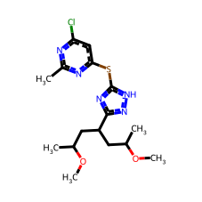 COC(C)CC(CC(C)OC)c1n[nH]c(Sc2cc(Cl)nc(C)n2)n1